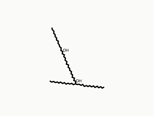 CCCCCCCCCCCCCCCCC(CCCCCCCCCCCCCC)C(O)CCCCCCCCCCCCCCCCCC(O)CCCCCCCCCCCCCC